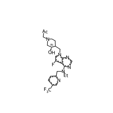 CCN(Cc1ccc(C(F)(F)F)cn1)c1ncnc2c1c(F)cn2CC1CCN(CC(C)=O)C[C@@H]1O